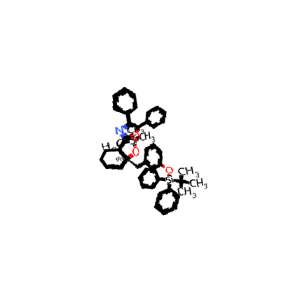 CC(C)(C)[Si](Oc1cccc(C[C@@]2(O[Si](C)(C)C)C=CCCC2c2nc(-c3ccccc3)c(-c3ccccc3)o2)c1)(c1ccccc1)c1ccccc1